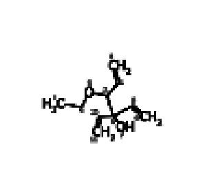 C=CC(OCC)C(O)(C=C)C=C